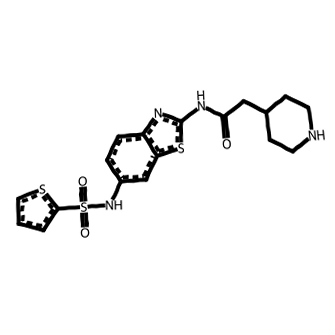 O=C(CC1CCNCC1)Nc1nc2ccc(NS(=O)(=O)c3cccs3)cc2s1